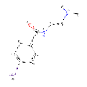 CN(C)CCNC(=O)c1ccc([131I])cc1